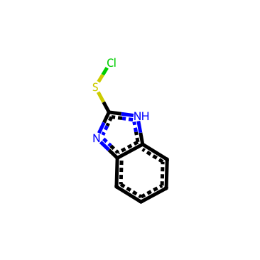 ClSc1nc2ccccc2[nH]1